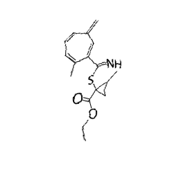 C=C1C=CC=C(C)C(C(=N)SC2(C(=O)OCC)CC2C)=C1